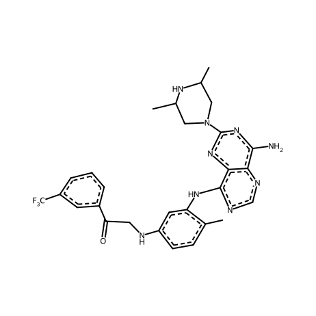 Cc1ccc(NCC(=O)c2cccc(C(F)(F)F)c2)cc1Nc1ncnc2c(N)nc(N3CC(C)NC(C)C3)nc12